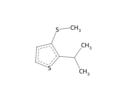 CSc1ccsc1C(C)C